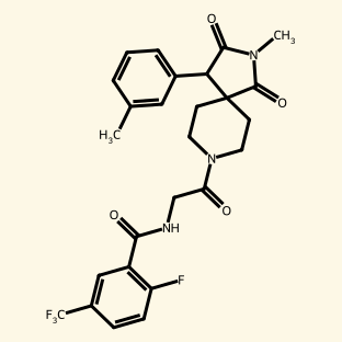 Cc1cccc(C2C(=O)N(C)C(=O)C23CCN(C(=O)CNC(=O)c2cc(C(F)(F)F)ccc2F)CC3)c1